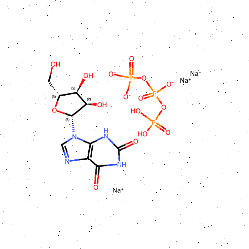 O=P([O-])([O-])OP(=O)([O-])OP(=O)(O)O.O=c1[nH]c(=O)c2ncn([C@@H]3O[C@H](CO)[C@@H](O)[C@H]3O)c2[nH]1.[Na+].[Na+].[Na+]